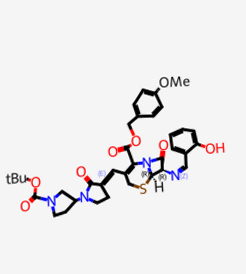 COc1ccc(COC(=O)C2=C(/C=C3\CCN(C4CCN(C(=O)OC(C)(C)C)C4)C3=O)CS[C@@H]3[C@H](/N=C\c4ccccc4O)C(=O)N23)cc1